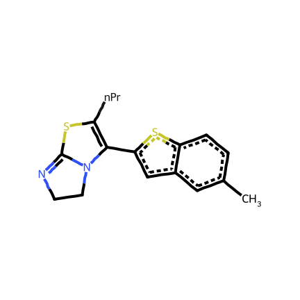 CCCC1=C(c2cc3cc(C)ccc3s2)N2CCN=C2S1